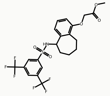 COC(=O)COc1cccc2c1CCCCC2NS(=O)(=O)c1cc(C(F)(F)F)cc(C(F)(F)F)c1